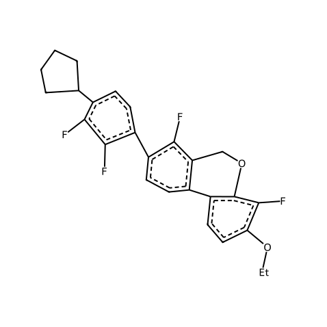 CCOc1ccc2c(c1F)OCc1c-2ccc(-c2ccc(C3CCCC3)c(F)c2F)c1F